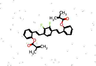 C=C(C)C(=O)Oc1ccccc1/C=C/c1ccc(/C=C/c2ccccc2OC(=O)C(=C)C)c(F)c1F